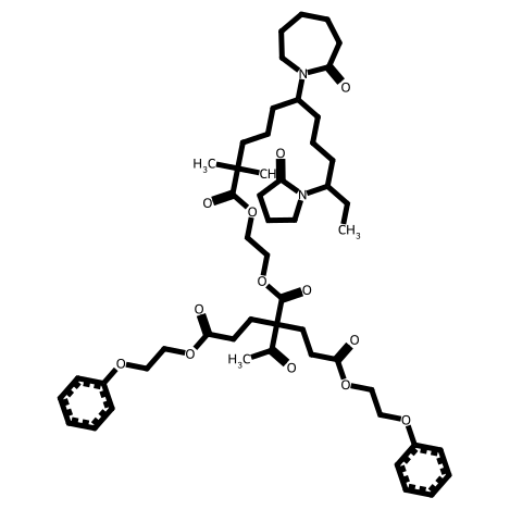 CCC(CCCC(CCCC(C)(C)C(=O)OCCOC(=O)C(CCC(=O)OCCOc1ccccc1)(CCC(=O)OCCOc1ccccc1)C(C)=O)N1CCCCCC1=O)N1CCCC1=O